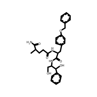 CC(C[CH]C(=O)NC(Cc1ccc(OCc2ccccc2)cc1)C(=O)NC(CO)C(O)c1ccccc1)C(N)=O